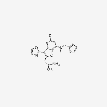 C[C@H](N)Cc1oc2c(NCc3ccco3)cc(Cl)nc2c1-c1nnco1